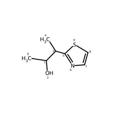 CC(O)C(C)c1nccs1